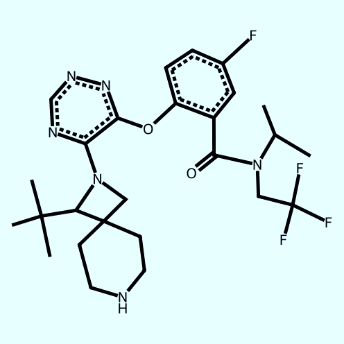 CC(C)N(CC(F)(F)F)C(=O)c1cc(F)ccc1Oc1nncnc1N1CC2(CCNCC2)C1C(C)(C)C